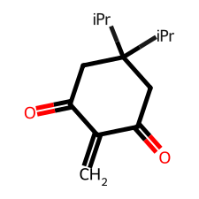 C=C1C(=O)CC(C(C)C)(C(C)C)CC1=O